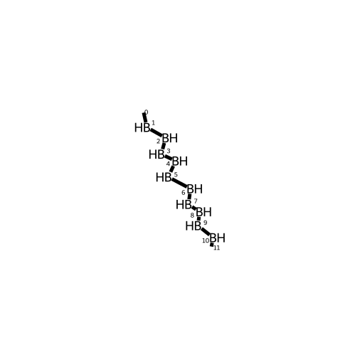 CBBBBBBBBBBC